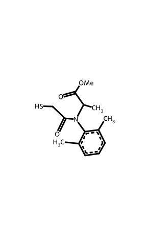 COC(=O)C(C)N(C(=O)CS)c1c(C)cccc1C